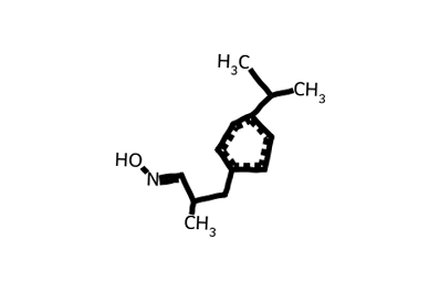 CC(C=NO)Cc1ccc(C(C)C)cc1